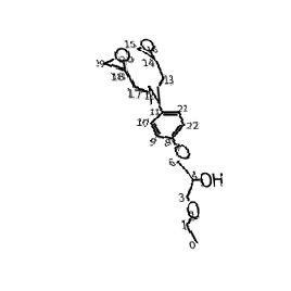 CCOCC(O)COc1ccc(N(CC2CO2)CC2CO2)cc1